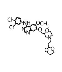 COc1cc2c(Nc3ccc(Cl)c(Cl)c3)ncnc2cc1OCC1CN(CCC2OCCCO2)CCO1